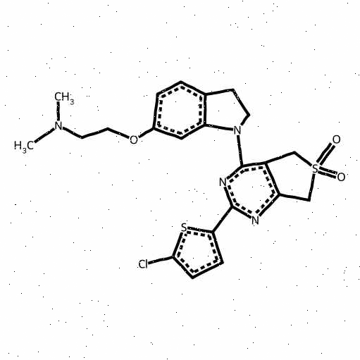 CN(C)CCOc1ccc2c(c1)N(c1nc(-c3ccc(Cl)s3)nc3c1CS(=O)(=O)C3)CC2